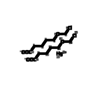 O=C([O-])CCCCOCCl.O=C([O-])CCCCOCCl.[Hg+2]